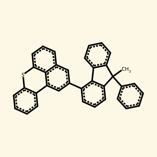 CC1(c2ccccc2)c2ccccc2-c2c(-c3cc4c5c(cccc5c3)Sc3ccccc3-4)cccc21